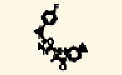 C[C@@H](Nc1nnc([C@H]2C[C@@H]2c2ccc(F)cc2)o1)C(=O)N1CCC2(CC1)CC2